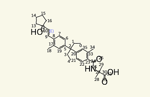 CCC(CC)(c1ccc(/C=C/C2(O)CCCC2)c(C)c1)c1ccc(C(=O)NC(C)(C)C(=O)O)c(C)c1